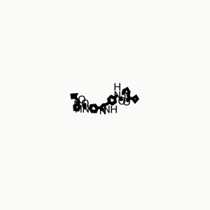 O=C(Nc1ccc(-c2cc(-c3ccc(NC(=O)[C@@H]4CCCN4C(=O)C4CCC4)cc3)[nH]n2)cc1)[C@@H]1CCCN1C(=O)C1CCC1